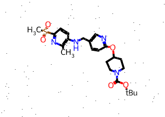 Cc1nc(S(C)(=O)=O)ccc1NCc1ccc(OC2CCN(C(=O)OC(C)(C)C)CC2)nc1